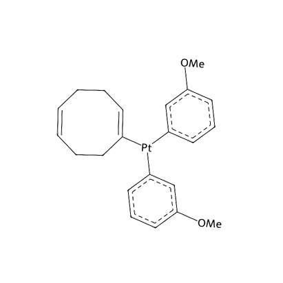 COc1ccc[c]([Pt]([C]2=CCCC=CCC2)[c]2cccc(OC)c2)c1